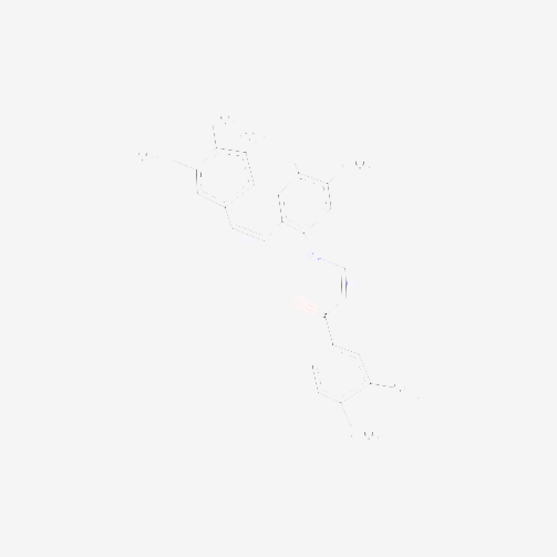 COc1cc(N/C=C\C(=O)c2ccc(OC)c([N+](=O)[O-])c2)c(/C=C\c2cc(OC)c(OC)c(OC)c2)cc1F